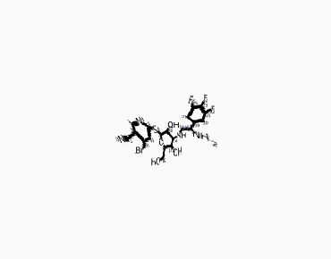 N#Cc1cnc(SC2OC(CO)C(O)C(N/C=C(\N)c3cc(F)c(F)c(F)c3)C2O)cc1Br